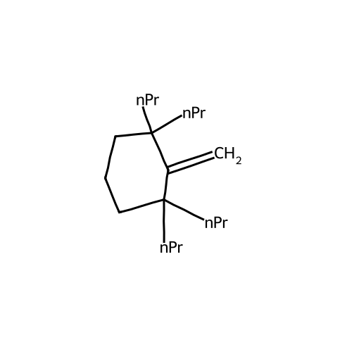 C=C1C(CCC)(CCC)CCCC1(CCC)CCC